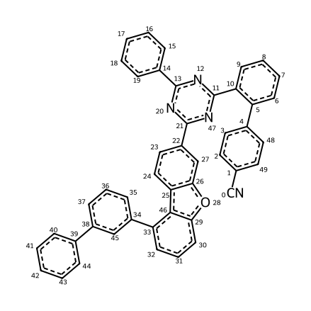 N#Cc1ccc(-c2ccccc2-c2nc(-c3ccccc3)nc(-c3ccc4c(c3)oc3cccc(-c5cccc(-c6ccccc6)c5)c34)n2)cc1